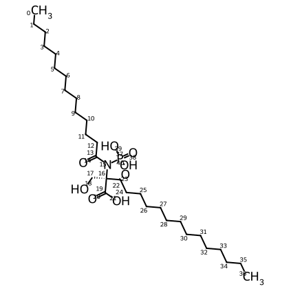 CCCCCCCCCCCCCC(=O)N([C@](CO)(C(=O)O)C(=O)CCCCCCCCCCCCC)P(=O)(O)O